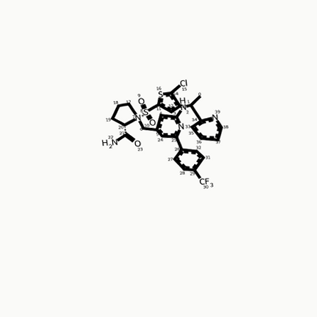 CC(Nc1cc(C[N+]2(S(=O)(=O)c3ccc(Cl)s3)CCC[C@H]2C(N)=O)cc(-c2ccc(C(F)(F)F)cc2)n1)c1ccccn1